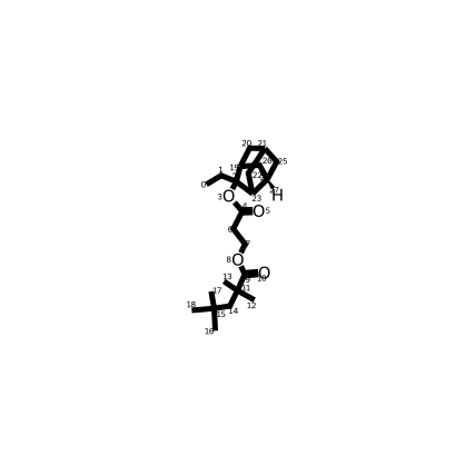 CCC1(OC(=O)CCOC(=O)C(C)(C)CC(C)(C)C)C2CC3CC1[C@@H](C3)C2